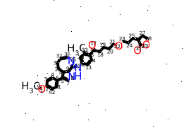 COc1ccc(C2=CN=C3/C(Nc4ccc(C(=O)CCCCOCCCC5CCOC5=O)c(C)c4)=N\C=C/CCC23)cc1